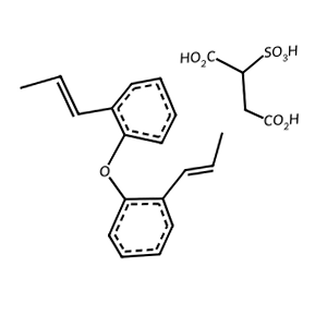 CC=Cc1ccccc1Oc1ccccc1C=CC.O=C(O)CC(C(=O)O)S(=O)(=O)O